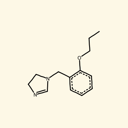 CCCOc1ccccc1CN1C=NCC1